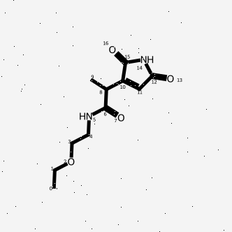 [CH2]COCCNC(=O)C(C)C1=CC(=O)NC1=O